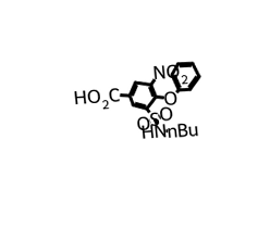 CCCCNS(=O)(=O)c1cc(C(=O)O)cc([N+](=O)[O-])c1Oc1ccccc1